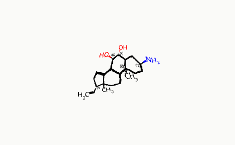 C=C[C@H]1CCC2C3C(CCC21C)[C@@]1(C)CC[C@H](N)CC1[C@@H](O)[C@@H]3O